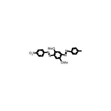 COc1cc(N=Nc2ccc([N+](=O)[O-])cc2)c(OC)cc1N=Nc1ccc(C)cc1